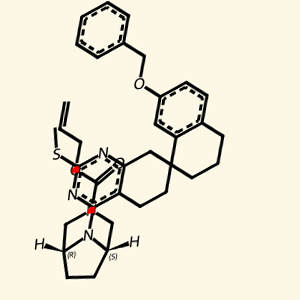 C=CCOC(=O)N1C[C@H]2CC[C@@H](C1)N2c1nc(SC)nc2c1CCC1(CCCc3ccc(OCc4ccccc4)cc31)C2